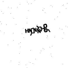 CCOC(=O)c1cnc(N2CCNC(C)C2)c(C)c1